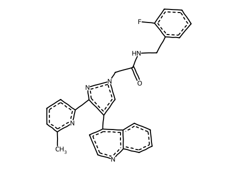 Cc1cccc(-c2nn(CC(=O)NCc3ccccc3F)cc2-c2ccnc3ccccc23)n1